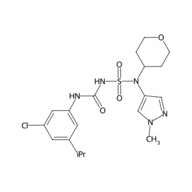 CC(C)c1cc(Cl)cc(NC(=O)NS(=O)(=O)N(c2cnn(C)c2)C2CCOCC2)c1